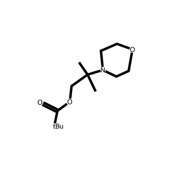 CC(C)(C)C(=O)OCC(C)(C)N1CCOCC1